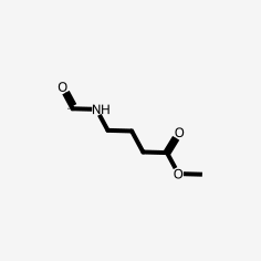 COC(=O)CCCN[C]=O